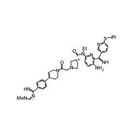 CCN(C(=O)[C@@H]1CCN(CC(=O)N2CC=C(c3ccc(C(=N)/N=C\NC)cc3)CC2)C1)c1ccc(N)c(C(=N)c2ccc(SC(C)C)nc2)n1